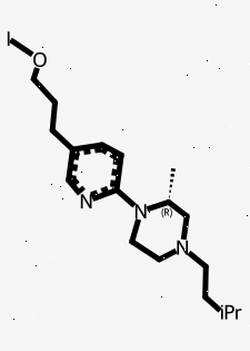 CC(C)CCN1CCN(c2ccc(CCCOI)cn2)[C@H](C)C1